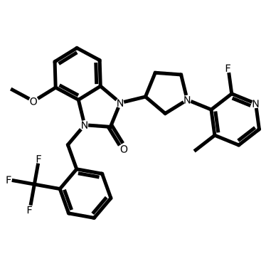 COc1cccc2c1n(Cc1ccccc1C(F)(F)F)c(=O)n2C1CCN(c2c(C)ccnc2F)C1